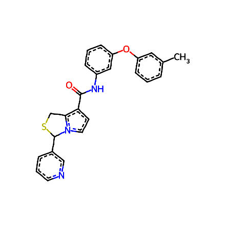 Cc1cccc(Oc2cccc(NC(=O)c3ccn4c3CSC4c3cccnc3)c2)c1